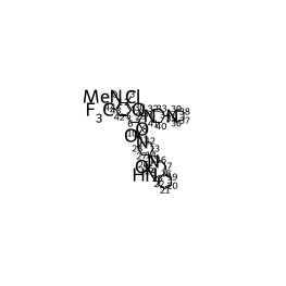 CNc1c(Cl)cc(CC(OC(=O)N2CCC(N3CCc4ccccc4NC3=O)CC2)C(=O)N2CCC(N3CCCC3)CC2)cc1C(F)(F)F